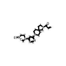 C=CC(=O)N1CCC2(CCN(c3cc(N4CCN(CC)CC4)ncn3)CC2)C1